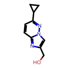 OCc1cn2nc(C3CC3)ccc2n1